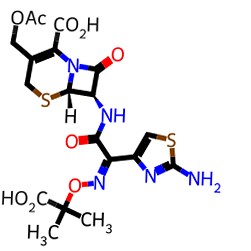 CC(=O)OCC1=C(C(=O)O)N2C(=O)[C@@H](NC(=O)/C(=N\OC(C)(C)C(=O)O)c3csc(N)n3)[C@@H]2SC1